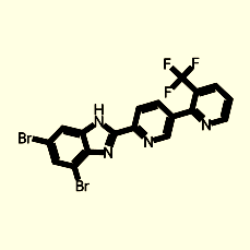 FC(F)(F)c1cccnc1-c1ccc(-c2nc3c(Br)cc(Br)cc3[nH]2)nc1